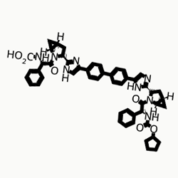 O=C(O)N[C@@H](C(=O)N1[C@@H]2C[C@@H]2C[C@H]1c1nc(-c2ccc(-c3ccc(-c4cnc([C@@H]5C[C@H]6C[C@H]6N5C(=O)[C@H](NC(=O)OC5CCCC5)c5ccccc5)[nH]4)cc3)cc2)c[nH]1)c1ccccc1